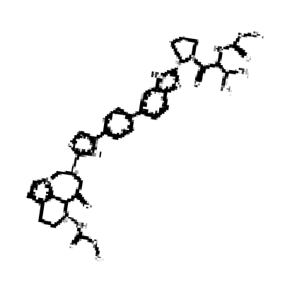 COC(=O)N[C@H]1CCc2ccn3c2C1C(=O)C[C@H](c1ncc(-c2ccc(-c4ccc5nc([C@@H]6CCCN6C(=O)[C@@H](NC(=O)OC)C(C)C)[nH]c5c4)cc2)[nH]1)C3